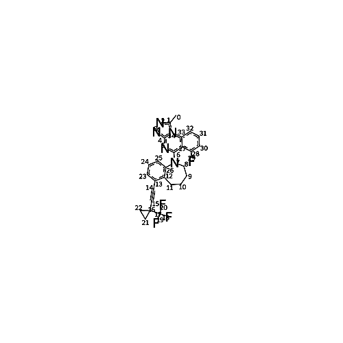 Cc1nnc2nc(N3CCCCc4c(C#CC5(C(F)(F)F)CC5)cccc43)c3c(F)cccc3n12